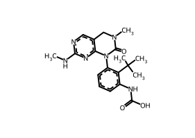 CNc1ncc2c(n1)N(c1cccc(NC(=O)O)c1C(C)(C)C)C(=O)N(C)C2